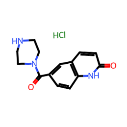 Cl.O=C(c1ccc2[nH]c(=O)ccc2c1)N1CCNCC1